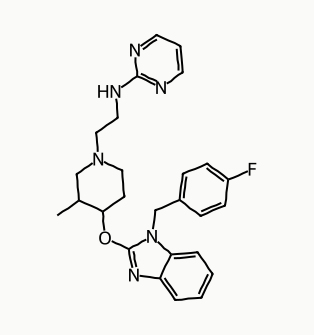 CC1CN(CCNc2ncccn2)CCC1Oc1nc2ccccc2n1Cc1ccc(F)cc1